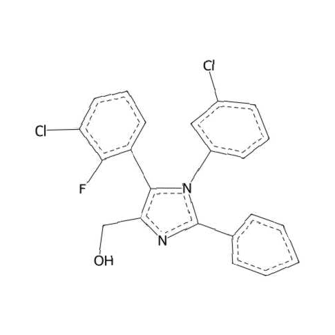 OCc1nc(-c2ccccc2)n(-c2cccc(Cl)c2)c1-c1cccc(Cl)c1F